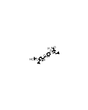 CC(C)(O)COc1ccc2c(C(=O)N[C@H]3CC[C@H](Oc4nn(CC5CC5)cc4C(N)=O)CC3)ncn2c1C1CC1